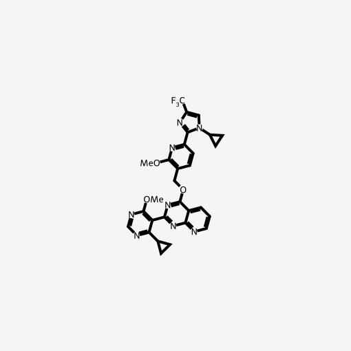 COc1nc(-c2nc(C(F)(F)F)cn2C2CC2)ccc1COc1nc(-c2c(OC)ncnc2C2CC2)nc2ncccc12